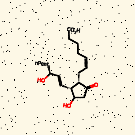 CCCCC[C@H](O)/C=C/[C@H]1C(O)CC(=O)[C@H]1C/C=C\CCCC(=O)O